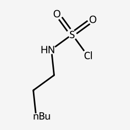 CCCCCCNS(=O)(=O)Cl